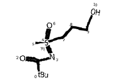 CC(C)(C)C(=O)N=[S@](C)(=O)CCCO